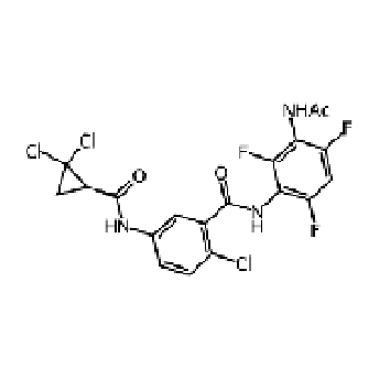 CC(=O)Nc1c(F)cc(F)c(NC(=O)c2cc(NC(=O)[C@H]3CC3(Cl)Cl)ccc2Cl)c1F